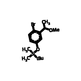 COC(C)c1cc(O[Si](C)(C)C(C)(C)C)ccc1Br